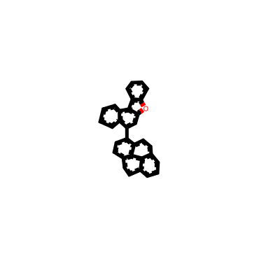 c1cc2ccc3ccc(-c4cc5oc6ccccc6c5c5ccccc45)c4ccc(c1)c2c34